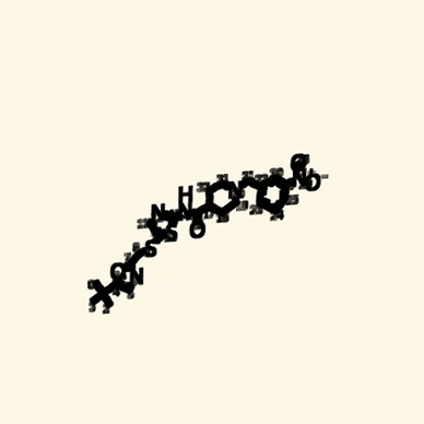 CC(C)(C)c1cnc(CSc2cnc(NC(=O)C3CCN(Cc4cccc([N+](=O)[O-])c4)CC3)s2)o1